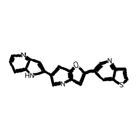 c1cnc2cc(-c3cnc4cc(-c5cnc6ccsc6c5)oc4c3)[nH]c2c1